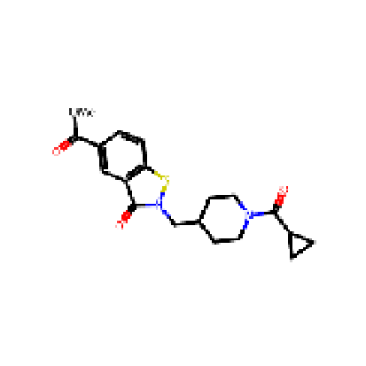 COC(=O)c1ccc2sn(CC3CCN(C(=O)C4CC4)CC3)c(=O)c2c1